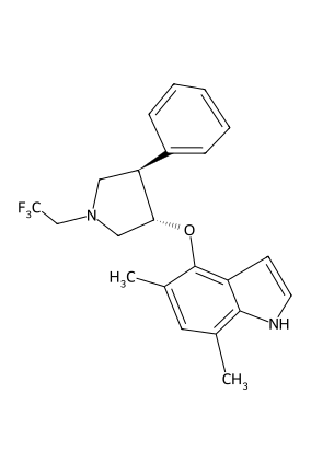 Cc1cc(C)c2[nH]ccc2c1O[C@@H]1CN(CC(F)(F)F)C[C@H]1c1ccccc1